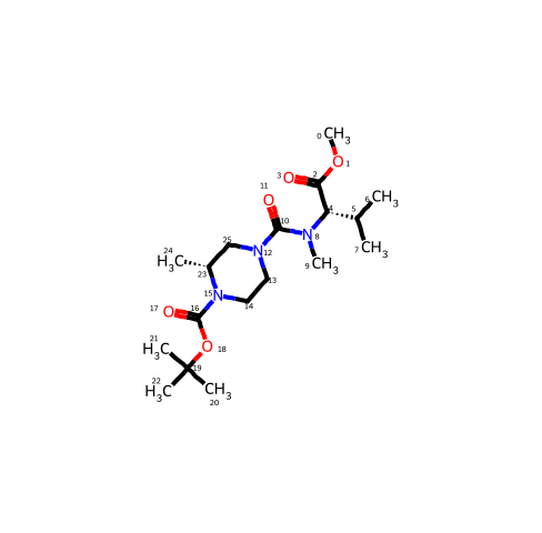 COC(=O)[C@H](C(C)C)N(C)C(=O)N1CCN(C(=O)OC(C)(C)C)[C@H](C)C1